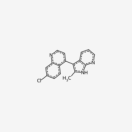 Cc1[nH]c2ncccc2c1-c1ccnc2cc(Cl)ccc12